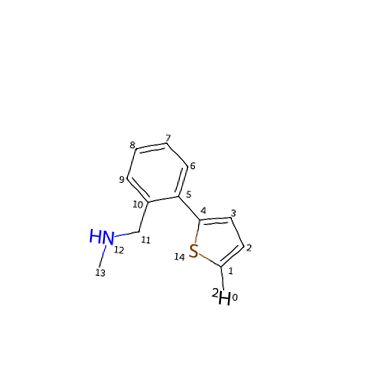 [2H]c1ccc(-c2ccccc2CNC)s1